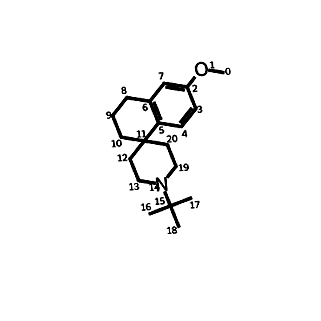 COc1ccc2c(c1)CCCC21CCN(C(C)(C)C)CC1